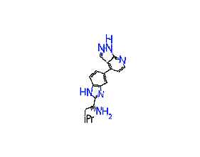 CC(C)C[C@@H](N)c1nc2cc(-c3ccnc4[nH]ncc34)ccc2[nH]1